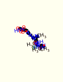 COc1cc(N2CCN(C3CN(C4CCN(c5ccc6c(c5)C(=O)N(C5CCC(=O)NC5=O)C6=O)CC4)C3)CC2)c(-c2cnn(C)c2)cc1Nc1ncc(Br)c(Nc2ccc3nccnc3c2P(C)C)n1